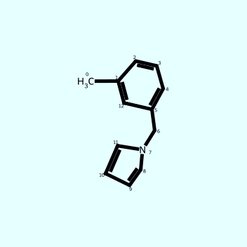 Cc1cccc(Cn2cccc2)c1